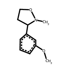 COc1cccc(C2CCON2C)c1